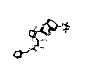 CC(C)[C@H](NC(=O)OCc1ccccc1)[C@@H](O)N1[C@@H]2CC[C@@H](C2)[C@H]1c1nc2c([nH]1)=C[C@H](B1OC(C)(C)C(C)(C)O1)CC=2